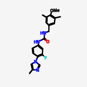 COc1c(C)cc(CNC(=O)Nc2ccc(-n3cnc(C)c3)c(F)c2)cc1C